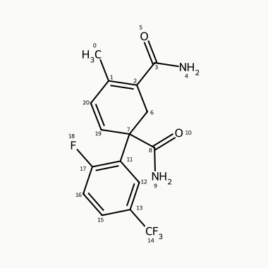 CC1=C(C(N)=O)CC(C(N)=O)(c2cc(C(F)(F)F)ccc2F)C=C1